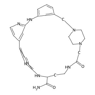 NC(=O)C1CCNC(=O)CN2CCN(CC2)Cc2cccc(c2)Nc2cc(ccn2)-c2cnc(nc2)N1